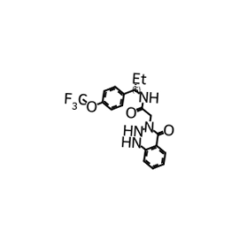 CC[C@H](NC(=O)CN1NNc2ccccc2C1=O)c1ccc(OC(F)(F)F)cc1